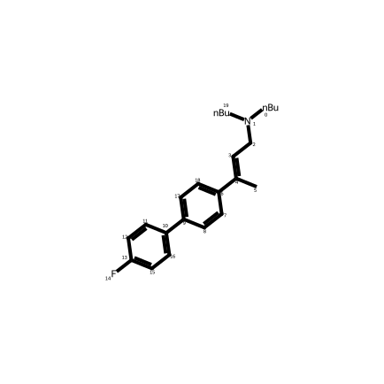 CCCCN(CC=C(C)c1ccc(-c2ccc(F)cc2)cc1)CCCC